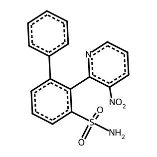 NS(=O)(=O)c1cccc(-c2ccccc2)c1-c1ncccc1[N+](=O)[O-]